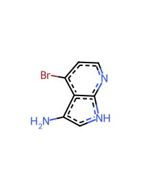 Nc1c[nH]c2nccc(Br)c12